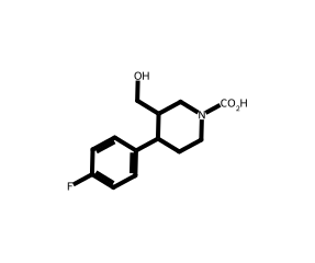 O=C(O)N1CCC(c2ccc(F)cc2)C(CO)C1